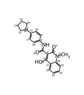 Cn1c(=O)c(C(=O)Nc2ccc(N3CCCC3)cc2)c(O)c2ccccc21